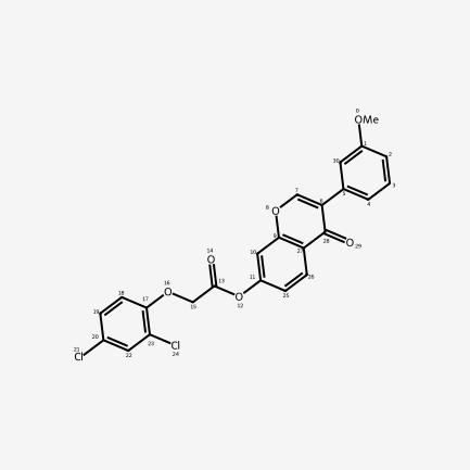 COc1cccc(-c2coc3cc(OC(=O)COc4ccc(Cl)cc4Cl)ccc3c2=O)c1